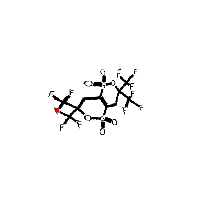 O=S1(=O)OC(C(F)(F)F)(C(F)(F)F)CC2=C1CC(C(F)(F)F)(C(F)(F)F)OS2(=O)=O